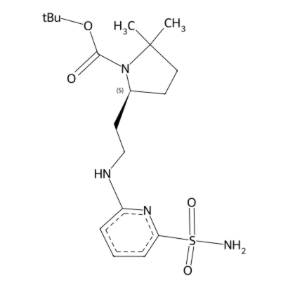 CC(C)(C)OC(=O)N1[C@H](CCNc2cccc(S(N)(=O)=O)n2)CCC1(C)C